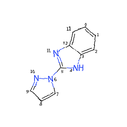 c1ccc2[nH]c(-n3cccn3)nc2c1